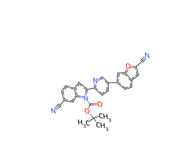 CC(C)(C)OC(=O)n1c(-c2ccc(-c3ccc4cc(C#N)oc4c3)cn2)cc2ccc(C#N)cc21